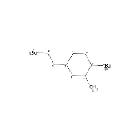 CC1CC(CCC(C)(C)C)CCC1C(C)(C)C